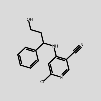 N#Cc1cnc(Cl)cc1NC(CCO)c1ccccc1